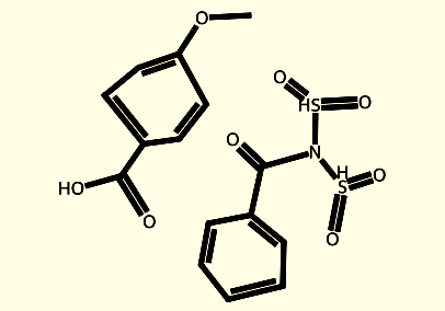 COc1ccc(C(=O)O)cc1.O=C(c1ccccc1)N([SH](=O)=O)[SH](=O)=O